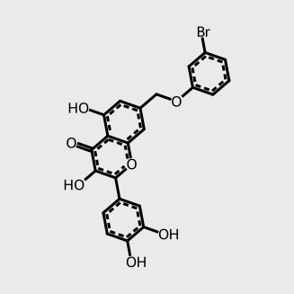 O=c1c(O)c(-c2ccc(O)c(O)c2)oc2cc(COc3cccc(Br)c3)cc(O)c12